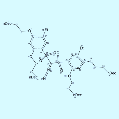 CCCCCCCCCCCCOc1cc(OCCCCCCCCCCCC)c(S(=O)(=O)C(=[N+]=[N-])S(=O)(=O)c2cc(CC)c(OCCCCCCCCCCCC)cc2OCCCCCCCCCCCC)cc1CC